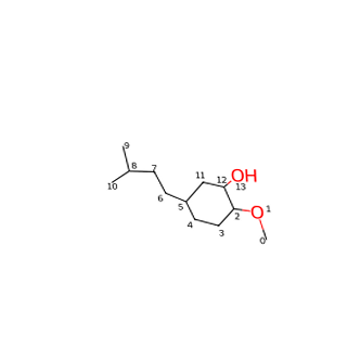 COC1CCC(CCC(C)C)CC1O